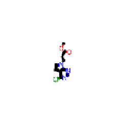 COC(=O)CCn1ccc2c(Cl)ncnc21